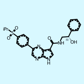 CC(C)S(=O)(=O)c1ccc(-c2cnc3[nH]cc(C(=O)NC[C@@H](O)c4ccccc4)c3n2)cc1